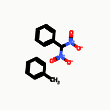 Cc1ccccc1.O=[N+]([O-])C(c1ccccc1)[N+](=O)[O-]